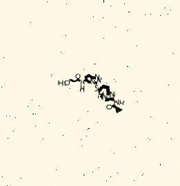 O=C(CCO)Nc1ccc2nnc(Sc3ccc4nc(NC(=O)C5CC5)cn4n3)n2c1